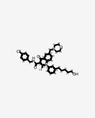 O=C(NCc1ccc(Cl)cc1)c1c(I)n(-c2cccc(CCCCCO)c2)c2ccc(CN3CCOCC3)cc2c1=O